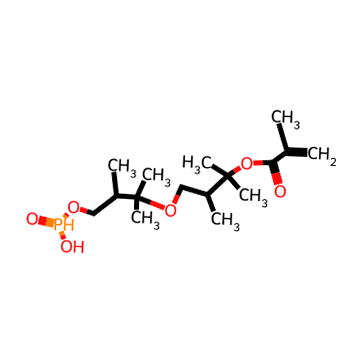 C=C(C)C(=O)OC(C)(C)C(C)COC(C)(C)C(C)CO[PH](=O)O